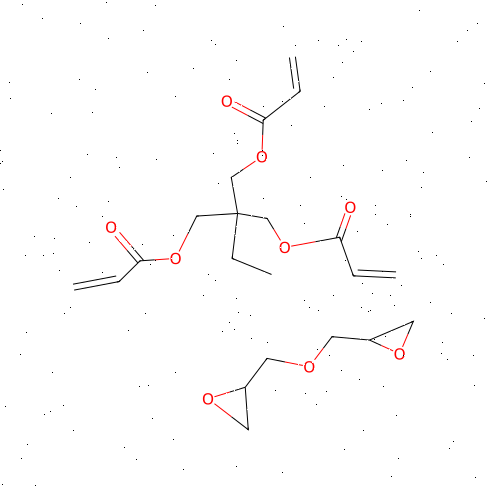 C(OCC1CO1)C1CO1.C=CC(=O)OCC(CC)(COC(=O)C=C)COC(=O)C=C